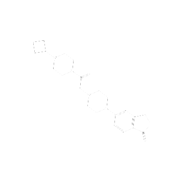 O=C1OCc2cc(N3CCN(CC(=O)N4CCN(C5CCC5)CC4)CC3)ccc21